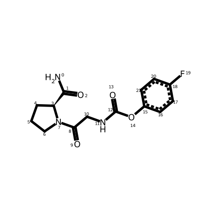 NC(=O)[C@@H]1CCCN1C(=O)CNC(=O)Oc1ccc(F)cc1